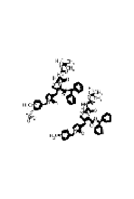 C[n+]1ccc(CN2CC/C(=C\C3=C(C(=O)OC(c4ccccc4)c4ccccc4)N4C(=O)[C@@H](NC(=O)OC(C)(C)C)[C@H]4SC3)C2=O)cc1.C[n+]1ccc(CN2CC/C(=C\C3=C(C(=O)OC(c4ccccc4)c4ccccc4)N4C(=O)[C@@H](NC(=O)OC(C)(C)C)[C@H]4SC3)C2=O)cc1.O=S(=O)([O-])[O-]